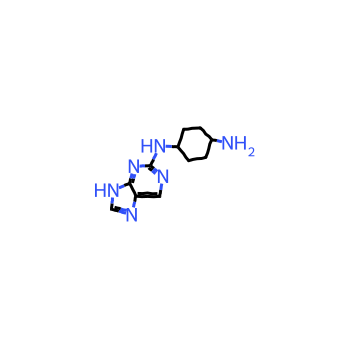 NC1CCC(Nc2ncc3nc[nH]c3n2)CC1